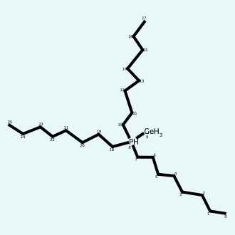 CCCCCCCC[PH]([GeH3])(CCCCCCCC)CCCCCCCC